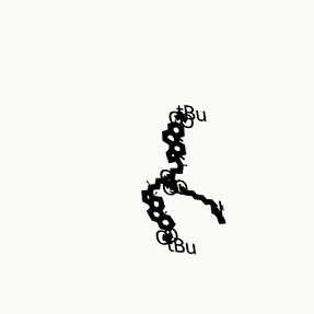 C#CCN(C)CCCCCCO[Si](C)(C)OC(CC[C@@H](C)C1CCC2C3CCC4C[C@H](OC(=O)C(C)(C)C)CC[C@]4(C)C3CC[C@@]21C)OCCC[C@@H](C)C1CCC2C3CCC4C[C@H](OC(=O)C(C)(C)C)CC[C@]4(C)C3CC[C@@]21C